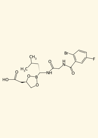 CC(C)C[C@H](NC(=O)CNC(=O)c1cc(F)ccc1Br)B1OC[C@@H](CC(=O)O)O1